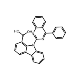 OB(O)c1cccc2c3ccccc3n(-c3nc(-c4ccccc4)c4ccccc4n3)c12